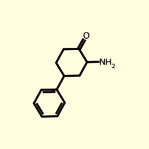 NC1CC(c2ccccc2)CCC1=O